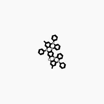 Cc1cc2c3c(c1)N(c1ccccc1)c1cc4c(cc1B3c1ccccc1N2c1ccccc1)B1c2ccccc2N(C2C=CC=CC2)c2cc(C)cc(c21)O4